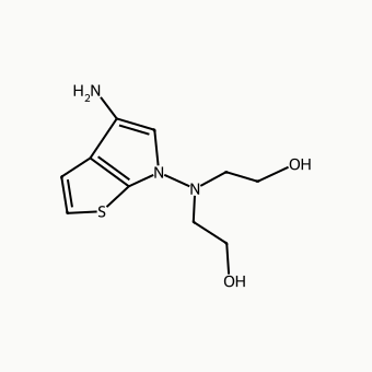 Nc1cn(N(CCO)CCO)c2sccc12